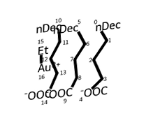 CCCCCCCCCCCCCC(=O)[O-].CCCCCCCCCCCCCC(=O)[O-].CCCCCCCCCCCCCC(=O)[O-].C[CH2][Au+3]